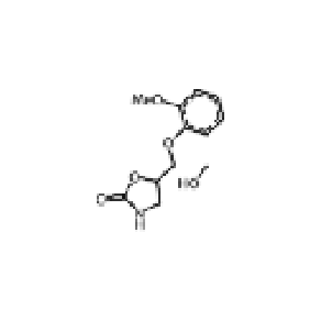 CO.COc1ccccc1OCC1CNC(=O)O1